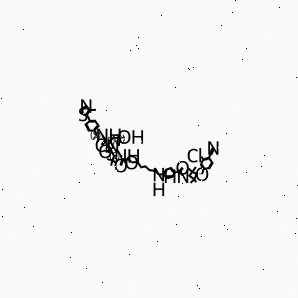 Cc1ncsc1-c1ccc([C@H](C)NC(=O)[C@@H]2C[C@@H](O)CN2C(=O)[C@@H](NC(=O)COCCCCCNc2ccc(C(=O)N[C@H]3C(C)(C)[C@@H](Oc4ccc(C#N)c(Cl)c4)C3(C)C)cc2)C(C)(C)C)cc1